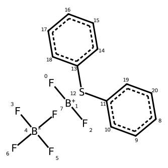 F[B+]F.F[B-](F)(F)F.c1ccc(Sc2ccccc2)cc1